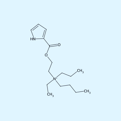 CCCC[N+](CC)(CCC)CCOC(=O)c1ccc[nH]1